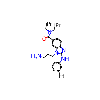 CCc1cccc(Nc2nc3ccc(C(=O)N(CC(C)C)CC(C)C)cc3n2CCCN)c1